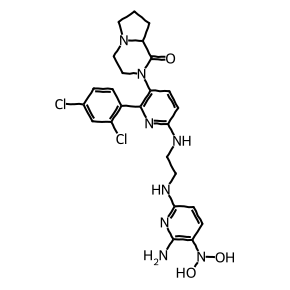 Nc1nc(NCCNc2ccc(N3CCN4CCCC4C3=O)c(-c3ccc(Cl)cc3Cl)n2)ccc1N(O)O